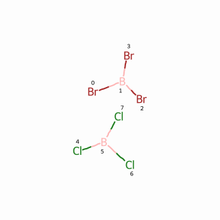 BrB(Br)Br.ClB(Cl)Cl